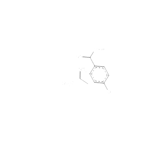 C[C@@H](N)C(=O)O.O=C(O)C(O)c1ccc(Cl)cc1